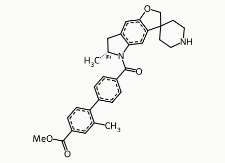 COC(=O)c1ccc(-c2ccc(C(=O)N3c4cc5c(cc4C[C@H]3C)OCC53CCNCC3)cc2)c(C)c1